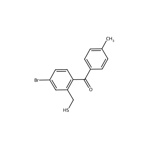 Cc1ccc(C(=O)c2ccc(Br)cc2CS)cc1